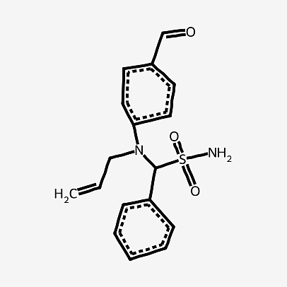 C=CCN(c1ccc(C=O)cc1)C(c1ccccc1)S(N)(=O)=O